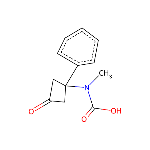 CN(C(=O)O)C1(c2ccccc2)CC(=O)C1